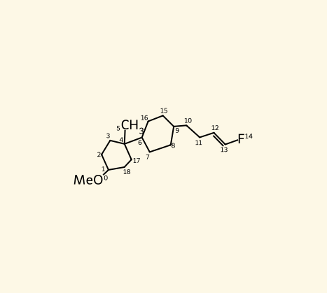 COC1CCC(C)(C2CCC(CCC=CF)CC2)CC1